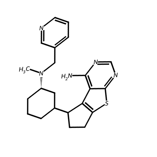 CN(Cc1cccnc1)[C@H]1CCCC(C2CCc3sc4ncnc(N)c4c32)C1